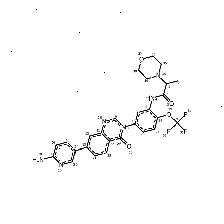 CC(C(=O)Nc1cc(-n2cnc3cc(-c4ccc(N)nc4)ccc3c2=O)ccc1OC(F)(F)F)N1CCOCC1